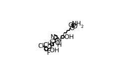 NS(=O)(=O)OCCCCC[C@@H]1C[C@@H](Nc2ccncc2C(=O)c2cc([C@H](O)c3cc(Cl)ccc3F)c(Cl)s2)C[C@@H]1O